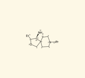 CCC1OCC2(CCN(C(C)C)CC2)[C@@H]1N